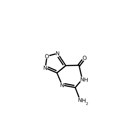 Nc1nc2nonc2c(=O)[nH]1